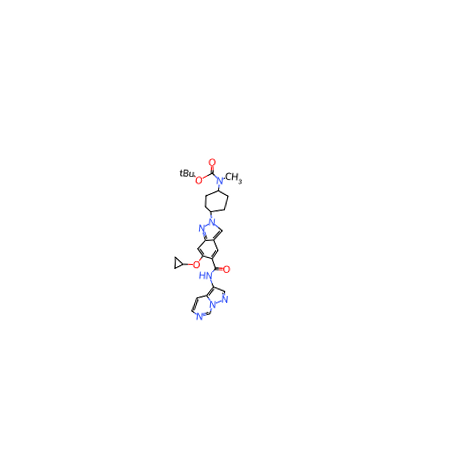 CN(C(=O)OC(C)(C)C)C1CCC(n2cc3cc(C(=O)Nc4cnn5cnccc45)c(OC4CC4)cc3n2)CC1